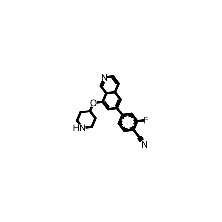 N#Cc1ccc(C2=CC3C=CN=CC3C(OC3CCNCC3)=C2)cc1F